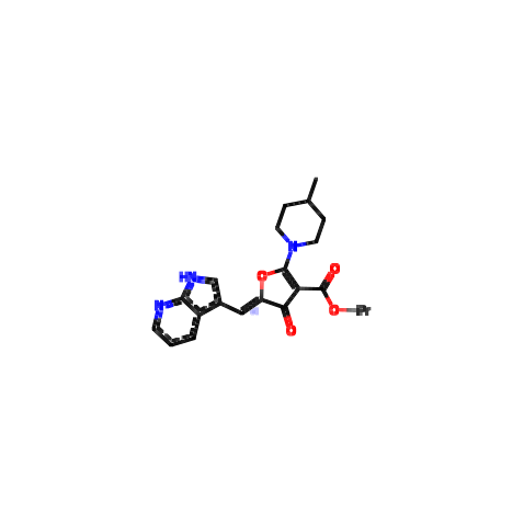 CC1CCN(C2=C(C(=O)OC(C)C)C(=O)/C(=C/c3c[nH]c4ncccc34)O2)CC1